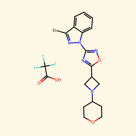 CCc1nn(-c2noc(C3CN(C4CCOCC4)C3)n2)c2ccccc12.O=C(O)C(F)(F)F